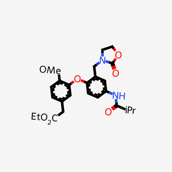 CCOC(=O)Cc1ccc(OC)c(Oc2ccc(NC(=O)C(C)C)cc2CN2CCOC2=O)c1